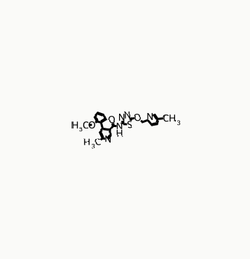 COc1ccccc1-c1cc(C)ncc1C(=O)Nc1nnc(OCc2ccc(C)cn2)s1